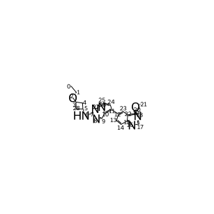 CCOC1CC(Nc2ncc3c(-c4ccc5ncnc(OC)c5c4)ccn3n2)C1